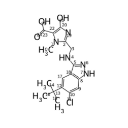 Cn1c(CNc2n[nH]c3cc(Cl)c(C(C)(C)C)cc23)nc(O)c1C(=O)O